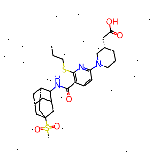 CCCSc1nc(N2CCC[C@@H](CC(=O)O)C2)ccc1C(=O)NC1C2CC3CC1CC(S(C)(=O)=O)(C3)C2